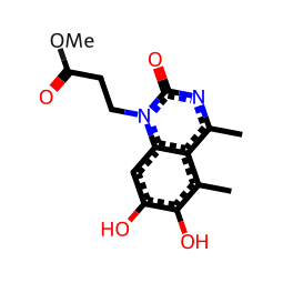 COC(=O)CCn1c(=O)nc(C)c2c(C)c(O)c(O)cc21